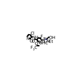 CCN(C=O)/C(CO)=N\N(C)c1nc(O[C@@H](C)C(F)(F)F)c(C(=O)Nc2c(Cl)ccnc2Cl)cc1F